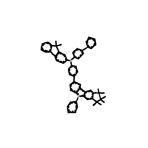 CC1(C)c2ccccc2-c2ccc(N(c3ccc(-c4ccccc4)cc3)c3ccc(-c4ccc5c(c4)c4cc6c(cc4n5-c4ccccc4)C(C)(C)C(C)(C)C6(C)C)cc3)cc21